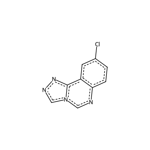 Clc1ccc2ncn3cnnc3c2c1